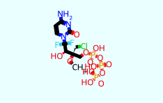 CO[C@](CCl)(COP(=O)(O)OP(=O)(O)OP(=O)(O)O)[C@@H](O)C(F)(F)n1ccc(N)nc1=O